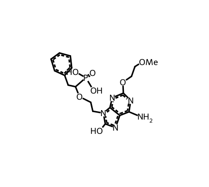 COCCOc1nc(N)c2nc(O)n(CCOC(Cc3ccccc3)P(=O)(O)O)c2n1